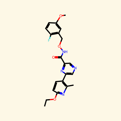 CCOc1ccc(-c2cncc(C(=O)NOCc3cc(OC)ccc3F)n2)c(C)n1